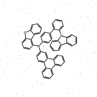 c1ccc(-n2c3ccccc3c3ccccc32)c(-c2ccc(N(c3ccc4c5ccccc5c5ccccc5c4c3)c3cccc4oc5ccccc5c34)cc2)c1